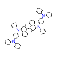 Cc1cc(N(c2ccccc2)c2ccc(N(c3ccccc3)c3ccccc3)cc2)c2ccccc2c1-c1c(C)cc(N(c2ccccc2)c2ccc(N(c3ccccc3)c3ccccc3)cc2)c2ccccc12